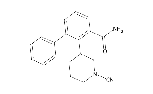 N#CN1CCCC(c2c(C(N)=O)cccc2-c2ccccc2)C1